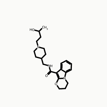 CC(O)CCN1CCC(CNC(=O)c2c3n(c4ccccc24)CCCO3)CC1